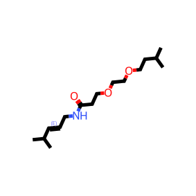 CC(C)/C=C/CNC(=O)CCOCCOCCC(C)C